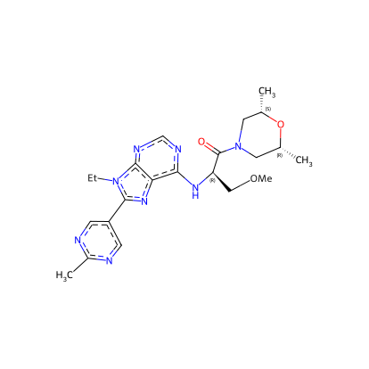 CCn1c(-c2cnc(C)nc2)nc2c(N[C@H](COC)C(=O)N3C[C@@H](C)O[C@@H](C)C3)ncnc21